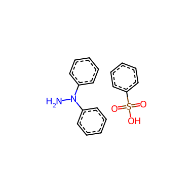 NN(c1ccccc1)c1ccccc1.O=S(=O)(O)c1ccccc1